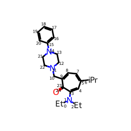 CCN(CC)c1cc(C(C)C)ccc(CN2CCN(c3ccccc3)CC2)c1=O